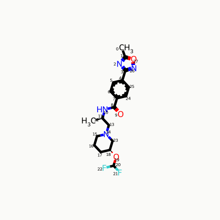 Cc1nc(-c2ccc(C(=O)N[C@H](C)CN3CCC[C@@H](OC(F)F)C3)cc2)no1